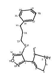 CC1NCCC=C1c1nonc1SCCCc1ccccc1